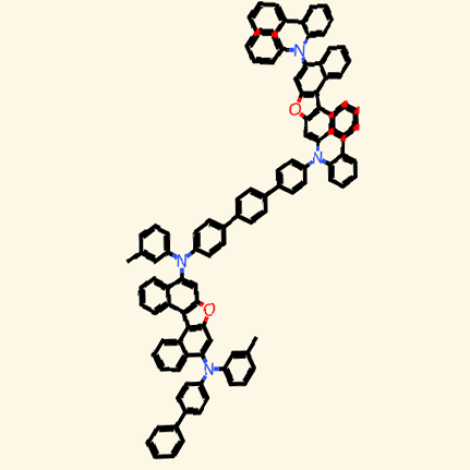 Cc1cccc(N(c2ccc(-c3ccccc3)cc2)c2cc3oc4cc(N(c5ccc(-c6ccc(-c7ccc(N(c8ccccc8-c8ccccc8)c8cc9oc%10cc(N(c%11ccccc%11)c%11ccccc%11-c%11ccccc%11)c%11ccccc%11c%10c9c9ccccc89)cc7)cc6)cc5)c5cccc(C)c5)c5ccccc5c4c3c3ccccc23)c1